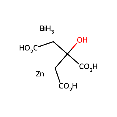 O=C(O)CC(O)(CC(=O)O)C(=O)O.[BiH3].[Zn]